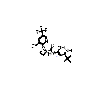 CC(C)(C)C(=N)/C=C(\O)NC(=O)[C@@H]1CCN1c1ncc(C(F)(F)F)cc1Cl